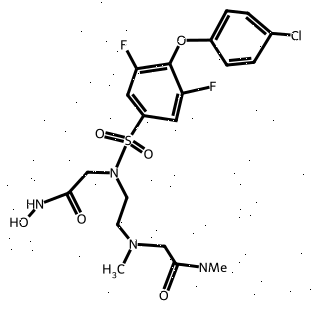 CNC(=O)CN(C)CCN(CC(=O)NO)S(=O)(=O)c1cc(F)c(Oc2ccc(Cl)cc2)c(F)c1